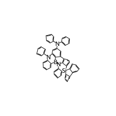 c1ccc(N(c2ccccc2)c2cc3c4c(c2)N(c2ccccc2)c2ccccc2B4N2c4ccccc4[Si]4(c5ccccc5-c5ccccc54)c4cccc-3c42)cc1